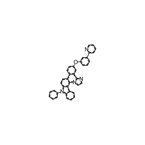 c1ccc(-n2c3ccccc3c3c2ccc2c4ccc(Oc5cccc(-c6ccccn6)c5)cc4c4nccn4c23)cc1